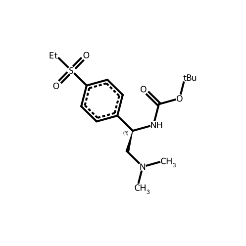 CCS(=O)(=O)c1ccc([C@H](CN(C)C)NC(=O)OC(C)(C)C)cc1